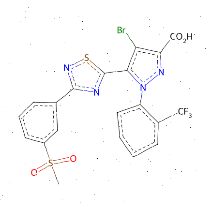 CS(=O)(=O)c1cccc(-c2nsc(-c3c(Br)c(C(=O)O)nn3-c3ccccc3C(F)(F)F)n2)c1